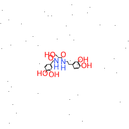 O=C(N[C@@H](CO)C(=O)NCCc1ccc(O)c(O)c1)c1ccc(O)c(O)c1